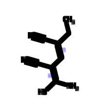 CC/C(C#N)=C/C(C#N)=C(\N)S